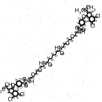 CN(C)[C@H]1Cc2c(Cl)cc(Cl)cc2[C@@H]1Oc1ccc(S(=O)(=O)NCCOCCOCCNC(=O)CCCCCC(=O)NCCOCCOCCNS(=O)(=O)c2ccc(O[C@H]3c4cc(Cl)cc(Cl)c4C[C@@H]3N(C)C)cc2)cc1